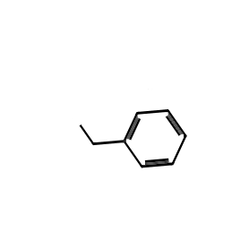 OCc1ccccc1.[La]